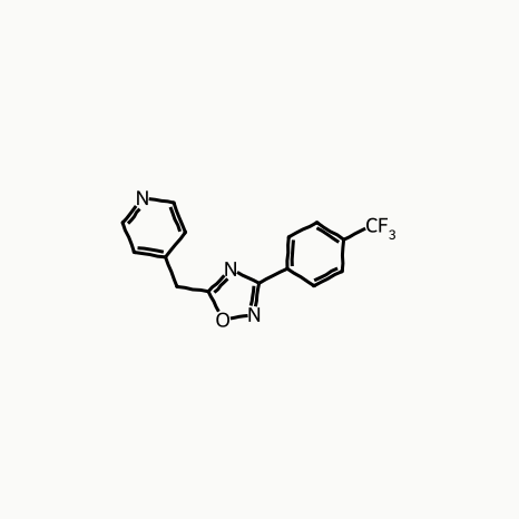 FC(F)(F)c1ccc(-c2noc(Cc3ccncc3)n2)cc1